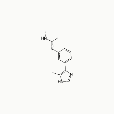 CN/C(C)=N/c1cccc(-c2nc[nH]c2C)c1